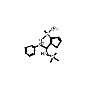 CC(C)(C)[Si](C)(C)C1=C(C(N[Si](C)(C)C)[SiH2]c2ccccc2)CC=C1